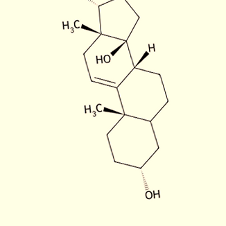 C[C@]12CC[C@@H](O)CC1CC[C@@H]1C2=CC[C@]2(C)[C@H](O)CC[C@]12O